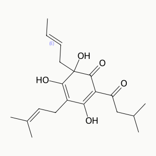 C/C=C/CC1(O)C(=O)C(C(=O)CC(C)C)=C(O)C(CC=C(C)C)=C1O